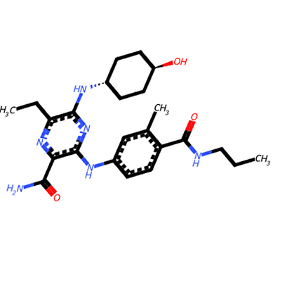 CCCNC(=O)c1ccc(Nc2nc(N[C@H]3CC[C@H](O)CC3)c(CC)nc2C(N)=O)cc1C